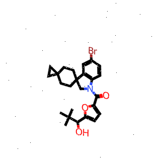 CC(C)(C)C(O)c1ccc(C(=O)N2CC3(CCC4(CC4)CC3)c3cc(Br)ccc32)o1